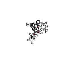 CC(C)CC(=O)N(CCN1C2CCC1CC(c1cccc(O)c1)C2)Cc1c(F)cccc1F